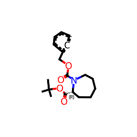 CC(C)(C)OC(=O)[C@H]1CCCCCN1C(=O)OCc1ccccc1